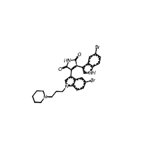 O=C1NC(=O)C(c2cn(CCCN3CCCCC3)c3ccc(Br)cc23)=C1c1c[nH]c2ccc(Br)cc12